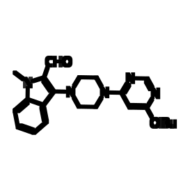 CC(C)COc1cc(N2CCN(c3c(C=O)n(C)c4ccccc34)CC2)ncn1